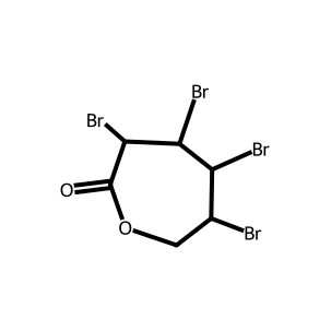 O=C1OCC(Br)C(Br)C(Br)C1Br